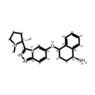 CN1CCC[C@@]1(C)c1nnc2ccc(OC3CC[C@H](N)c4ccccc43)cn12